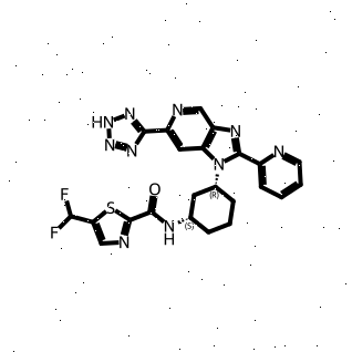 O=C(N[C@H]1CCC[C@@H](n2c(-c3ccccn3)nc3cnc(-c4nn[nH]n4)cc32)C1)c1ncc(C(F)F)s1